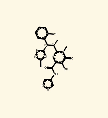 Cc1nnc([C@@H](c2ccccc2Cl)[C@@H](C)c2nc(C(=O)Nc3cnoc3)c(O)c(=O)n2C)o1